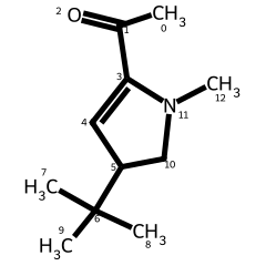 CC(=O)C1=CC(C(C)(C)C)CN1C